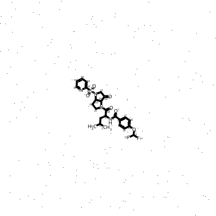 CC(C)CC(NC(=O)c1ccc(OC(F)F)cc1)C(=O)N1CCC2C1C(=O)CN2S(=O)(=O)c1ccccn1